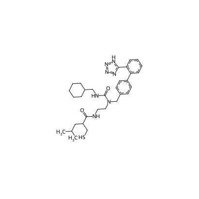 CC(C)CC(CS)C(=O)NCCN(Cc1ccc(-c2ccccc2-c2nnn[nH]2)cc1)C(=O)NCC1CCCCC1